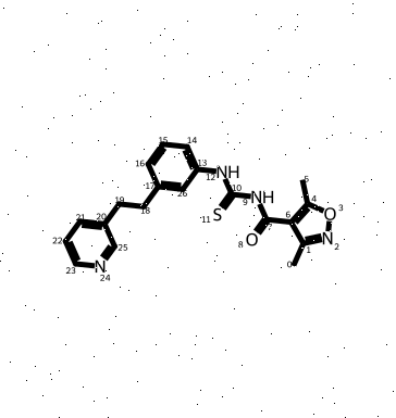 Cc1noc(C)c1C(=O)NC(=S)Nc1cccc(CCc2cccnc2)c1